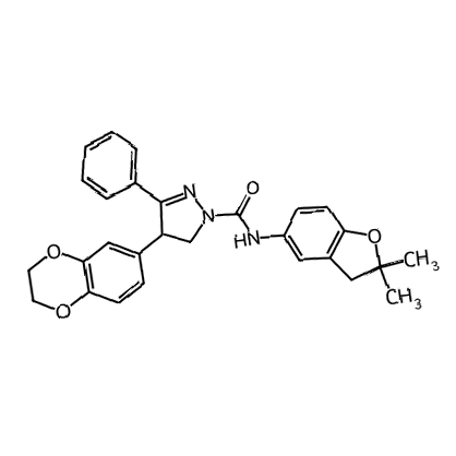 CC1(C)Cc2cc(NC(=O)N3CC(c4ccc5c(c4)OCCO5)C(c4ccccc4)=N3)ccc2O1